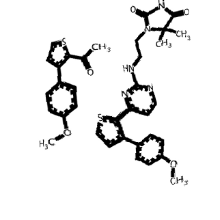 COc1ccc(-c2ccsc2-c2ccnc(NCCN3C(=O)NC(=O)C3(C)C)n2)cc1.COc1ccc(-c2ccsc2C(C)=O)cc1